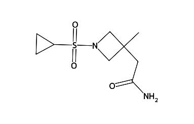 CC1(CC(N)=O)CN(S(=O)(=O)C2CC2)C1